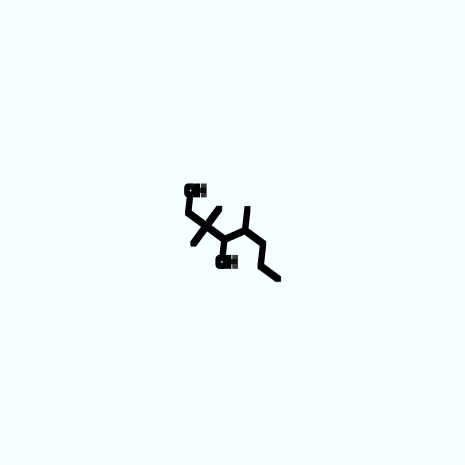 CCCC(C)C(O)C(C)(C)CO